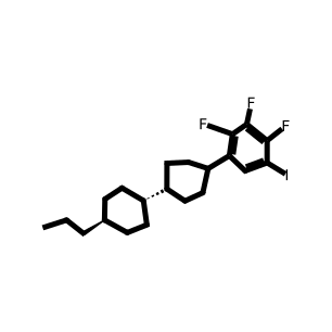 CCC[C@H]1CC[C@H](C2CCC(c3cc(I)c(F)c(F)c3F)CC2)CC1